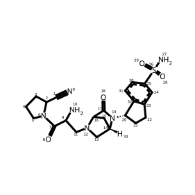 N#CC1CCCN1C(=O)C(N)CN1C[C@@H]2CC1C(=O)N2[C@H]1CCc2cc(S(N)(=O)=O)ccc21